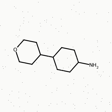 NC1CCC(C2CCOCC2)CC1